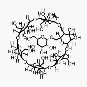 OC[C@H]1O[C@H](OC[C@H]2O[C@@H]3O[C@H]4[C@H](O)[C@@H](O)[C@@H](O[C@H]5[C@H](O)[C@@H](O)[C@@H](O[C@H]6[C@H](O)[C@@H](O)[C@@H](O[C@H]7[C@H](O)[C@@H](O)[C@@H](O[C@H]8[C@H](O)[C@@H](O)[C@@H](O[C@H]2[C@H](O)[C@H]3O)O[C@@H]8CO)O[C@@H]7CO)O[C@@H]6CO)O[C@@H]5CO)O[C@@H]4CO)[C@H](O)[C@@H](O)[C@@H]1O